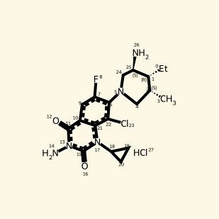 CC[C@@H]1[C@H](C)CN(c2c(F)cc3c(=O)n(N)c(=O)n(C4CC4)c3c2Cl)C[C@H]1N.Cl